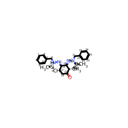 C[SiH](C)N(Cc1ccccc1)N=C1CCC(=O)CC1=NN(Cc1ccccc1)[SiH](C)C